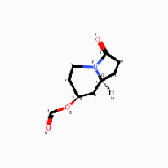 O=CO[C@H]1CCN2C(=O)CC[C@H]2C1